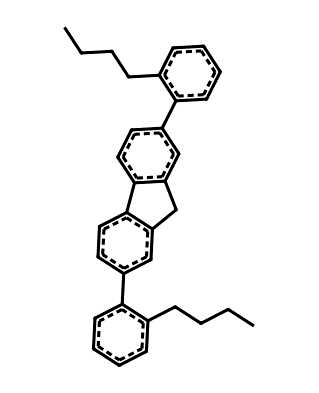 CCCCc1ccccc1-c1ccc2c(c1)Cc1cc(-c3ccccc3CCCC)ccc1-2